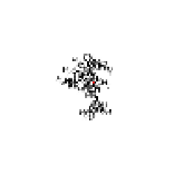 CC[C@H](C)[C@H](NC(=O)[C@@H](CCCNC(=N)N)NC(=O)[C@H](CC(C)C)NC(=O)[C@@H](NC(=O)OC(C)(C)C)[C@H](O)C(C)C)C(=O)N[C@H](C(=O)NCC(=O)N[C@@H](CO)C(=O)N[C@@H](CO)C(=O)O)[C@H](C)O